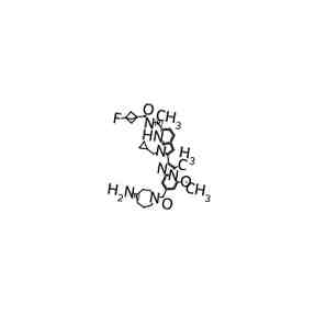 COc1cc(C(=O)N2CCC[C@@H](N)CC2)cc2nc(-c3cc4ccc([C@@H](C)NC(=O)C56CC(F)(C5)C6)nc4n3CC3CC3)c(C)n12